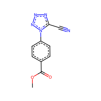 COC(=O)c1ccc(-n2nnnc2C#N)cc1